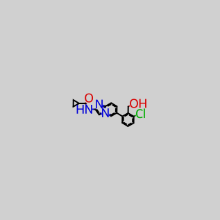 O=C(Nc1cn2cc(-c3cccc(Cl)c3CO)ccc2n1)C1CC1